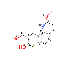 COc1ccc2ccc(F)c(CC(CO)CO)c2n1